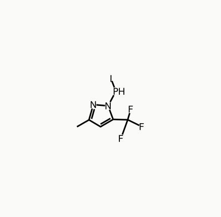 Cc1cc(C(F)(F)F)n(PI)n1